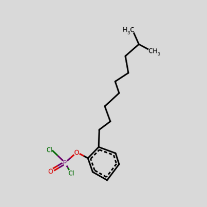 CC(C)CCCCCCCc1ccccc1OP(=O)(Cl)Cl